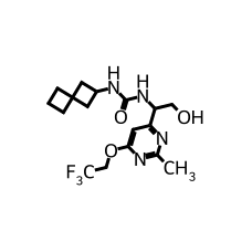 Cc1nc(OCC(F)(F)F)cc(C(CO)NC(=O)NC2CC3(CCC3)C2)n1